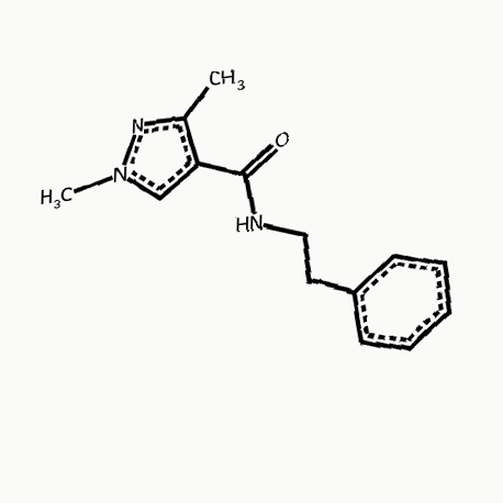 Cc1nn(C)cc1C(=O)NCCc1ccccc1